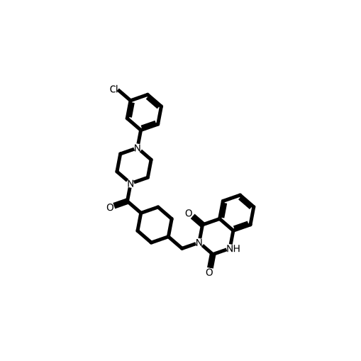 O=C(C1CCC(Cn2c(=O)[nH]c3ccccc3c2=O)CC1)N1CCN(c2cccc(Cl)c2)CC1